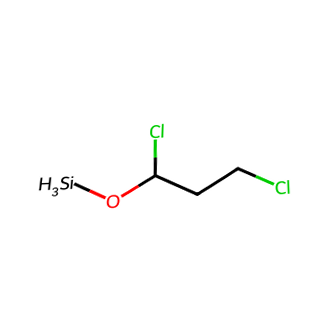 [SiH3]OC(Cl)CCCl